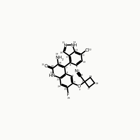 N#CC1(Oc2cc3c(-c4ccc(Cl)c5[nH]ncc45)c(N)c(=O)[nH]c3cc2F)CCC1